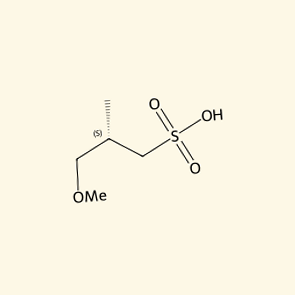 COC[C@H](C)CS(=O)(=O)O